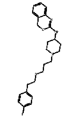 Fc1ccc(CCOCCCN2CCC(NC3=Nc4ccccc4CO3)CC2)cc1